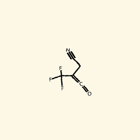 N#CCC(=C=O)C(F)(F)F